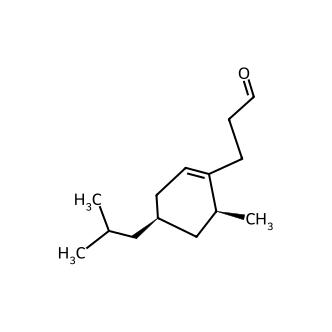 CC(C)C[C@H]1CC=C(CCC=O)[C@@H](C)C1